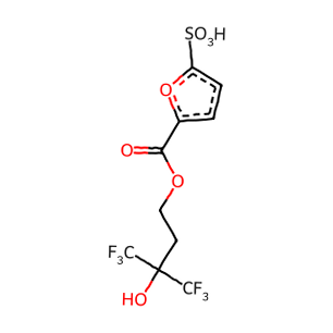 O=C(OCCC(O)(C(F)(F)F)C(F)(F)F)c1ccc(S(=O)(=O)O)o1